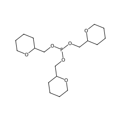 C1CCC(COP(OCC2CCCCO2)OCC2CCCCO2)OC1